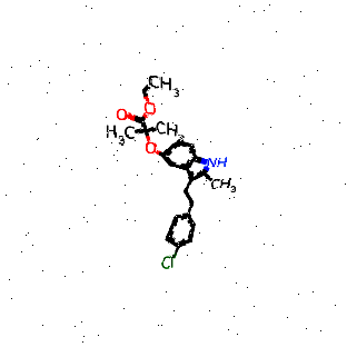 CCOC(=O)C(C)(C)Oc1ccc2[nH]c(C)c(CCc3ccc(Cl)cc3)c2c1